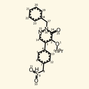 CCCOc1c(-c2ccc(C[SH](=O)=O)cc2)cnn(Cc2ccccc2)c1=O